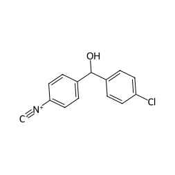 [C-]#[N+]c1ccc(C(O)c2ccc(Cl)cc2)cc1